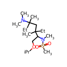 CCC(C)(CC(C)(CC)N(C)C)C(COC(C)C)N(C)S(C)(=O)=O